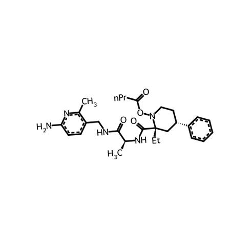 CCCC(=O)ON1CC[C@H](c2ccccc2)C[C@]1(CC)C(=O)N[C@@H](C)C(=O)NCc1ccc(N)nc1C